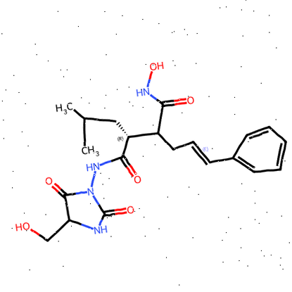 CC(C)C[C@@H](C(=O)NN1C(=O)NC(CO)C1=O)C(C/C=C/c1ccccc1)C(=O)NO